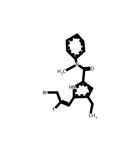 CCc1cc(C(=O)N(C)c2ccccc2)[nH]c1/C=C(/F)CBr